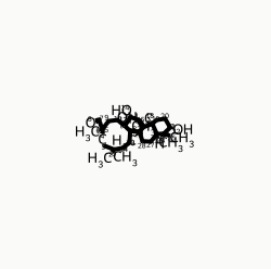 CC1(C)CC[C@](C)(C=O)CC[C@@]2(O)C(O)C=C3[C@@]4(C)CC[C@H](O)C(C)(C)[C@@H]4CC[C@@]3(C)[C@]2(C)CC1